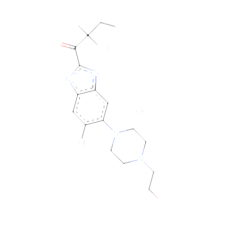 CCC(C)(C)C(=O)c1nc2cc(C)c(N3CCN(CCO)C[C@H]3C)cc2[nH]1